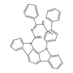 CN/C(=N\C(=N)n1c2ccccc2c2ccc3c4ccccc4n(-c4ccc(-c5ccccc5)cc4)c3c21)c1ccccc1